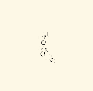 O=C(O)Nc1ccc(-n2c(=O)c3ccccc3n(CCCc3cnc[nH]3)c2=O)cc1